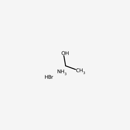 Br.CCO.N